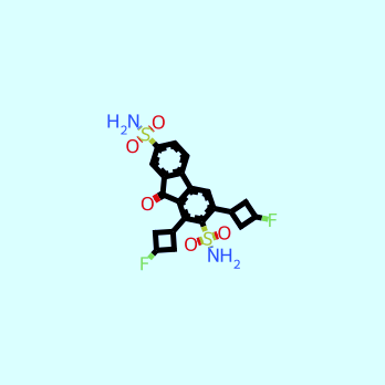 NS(=O)(=O)c1ccc2c(c1)C(=O)c1c-2cc(C2CC(F)C2)c(S(N)(=O)=O)c1C1CC(F)C1